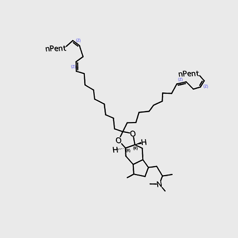 CCCCC/C=C\C/C=C\CCCCCCCCC1(CCCCCCCC/C=C\C/C=C\CCCCC)O[C@@H]2CC3C(C)CC(CC(C)N(C)C)C3C[C@H]2O1